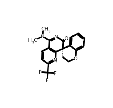 CN(C)C1=NC(=O)[C@]2(CCOc3ccccc32)c2nc(C(F)(F)F)ccc21